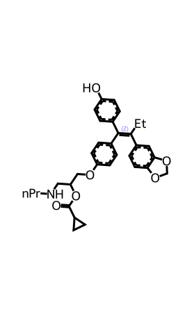 CCCNCC(COc1ccc(/C(=C(/CC)c2ccc3c(c2)OCO3)c2ccc(O)cc2)cc1)OC(=O)C1CC1